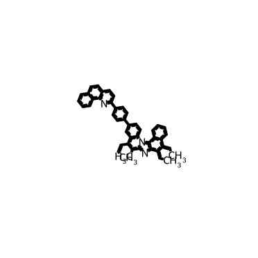 C/C=C\c1c(C)c2nc3c(=C/C)/c(=C\C)c4ccccc4c3n2c2ccc(-c3ccc(-c4ccc5ccc6ccccc6c5n4)cc3)cc12